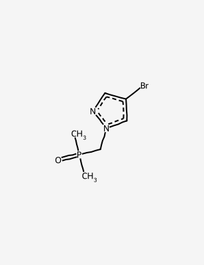 CP(C)(=O)Cn1cc(Br)cn1